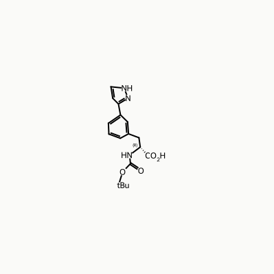 CC(C)(C)OC(=O)N[C@H](Cc1cccc(-c2cc[nH]n2)c1)C(=O)O